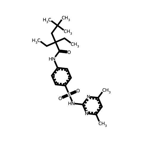 CCC(CC)(CC(C)(C)C)C(=O)Nc1ccc(S(=O)(=O)Nc2nc(C)cc(C)n2)cc1